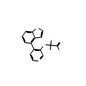 CC(C)(Sc1cnccc1-c1cccc2[nH]ccc12)C(=O)O